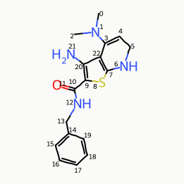 CN(C)C1=CCNc2sc(C(=O)NCc3ccccc3)c(N)c21